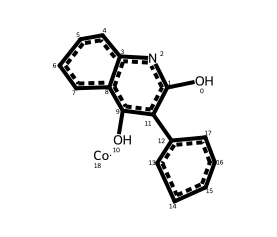 Oc1nc2ccccc2c(O)c1-c1ccccc1.[Co]